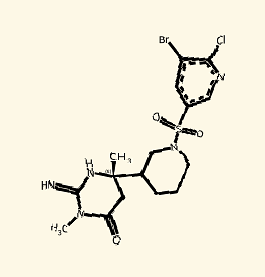 CN1C(=N)N[C@](C)(C2CCCN(S(=O)(=O)c3cnc(Cl)c(Br)c3)C2)CC1=O